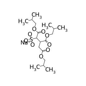 CC(C)COC(=O)CC(C(=O)OCC(C)C)C(C(=O)OCC(C)C)S(=O)(=O)[O-].[Na+]